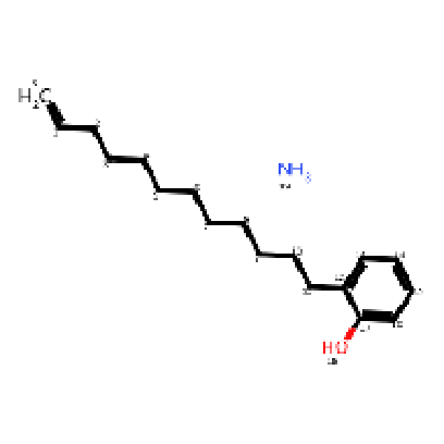 C=CCCCCCCCCCCc1ccccc1O.N